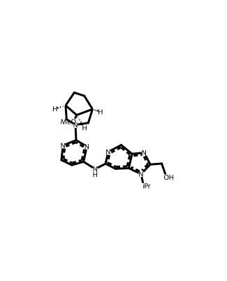 CO[C@H]1[C@@H]2CC[C@H]1CN(c1nccc(Nc3cc4c(cn3)nc(CO)n4C(C)C)n1)C2